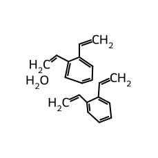 C=Cc1ccccc1C=C.C=Cc1ccccc1C=C.O